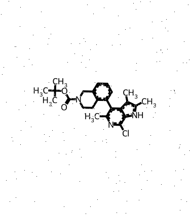 Cc1nc(Cl)c2[nH]c(C)c(C)c2c1-c1cccc2c1CCN(C(=O)OC(C)(C)C)C2